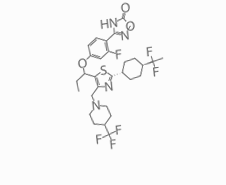 CCC(Oc1ccc(-c2noc(=O)[nH]2)c(F)c1)c1sc([C@H]2CC[C@H](C(C)(F)F)CC2)nc1CN1CCC(C(F)(F)F)CC1